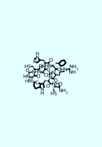 CCCC[C@@H]1NC(=O)N([C@@H](CS)C(=O)N[C@H](C)C(=O)N[C@@H](Cc2cnc[nH]2)C(=O)N[C@H](Cc2ccccc2)C(=O)N[C@@H](CCCNC(=N)N)C(=O)N[C@@H](Cc2c[nH]c3ccccc23)C(=O)N[C@@H](CS)C(N)=O)C1=O